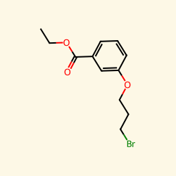 CCOC(=O)c1cccc(OCCCBr)c1